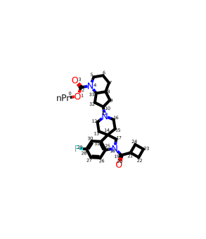 CCCOC(=O)N1CCCC2CC(N3CCC4(CC3)CN(C(=O)C3CCC3)c3ccc(F)cc34)CC21